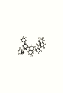 CC1(C)c2c(cccc2-c2ccc(-c3nc(-c4ccccc4)cc(-c4ccccn4)n3)c3ccccc23)-c2ccc3ccccc3c21